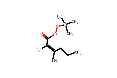 CCCC([SiH3])=C(C)C(=O)OO[Si](C)(C)C